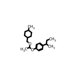 CCC(C)c1ccc(OC(C)OCC2CCC(C)CC2)cc1